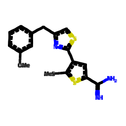 COc1cccc(Cc2csc(-c3cc(C(=N)N)sc3SC)n2)c1